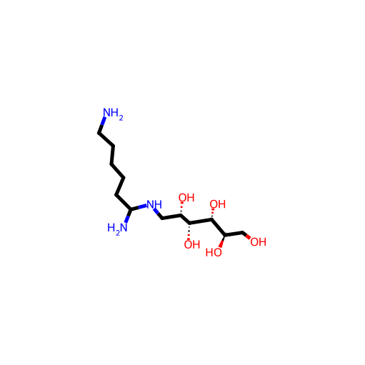 NCCCCCC(N)NC[C@H](O)[C@@H](O)[C@H](O)[C@H](O)CO